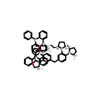 C[C@@H]1CC[C@@H](CC[C@H]2CC[C@H](C)P2c2cc(Cc3ccc(P4[C@H](C)CC[C@H]4C)c(P4[C@H](C)CC[C@H]4C)c3)ccc2P2[C@@H](C)CC[C@@H]2C)P1c1ccccc1P(c1ccccc1)c1ccc(P(c2ccccc2)c2ccccc2P2[C@@H](C)CC[C@@H]2C)cc1